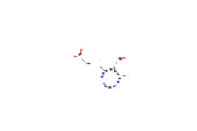 O=Cc1c(Cl)ncnc1SCC(=O)O